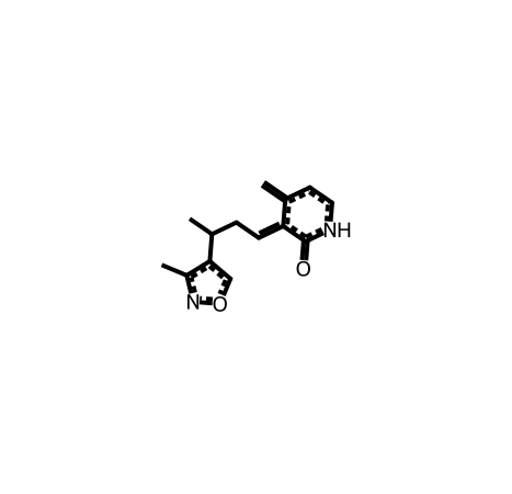 C=c1cc[nH]c(=O)/c1=C/CC(C)c1conc1C